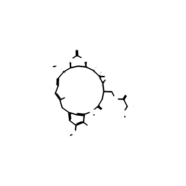 CN[C@@H](C)C(=O)OCC1CC(=O)N(C)c2cc(cc(OC)c2Cl)C/C(C)=C/C=C/[C@@H](OC)[C@@]2(O)C[C@H](OC(=O)N2)[C@@H](C)[C@@H]2O[C@@]12C